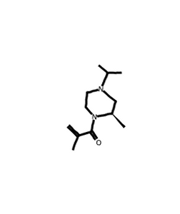 C=C(C)C(=O)N1CCN(C(C)C)C[C@H]1C